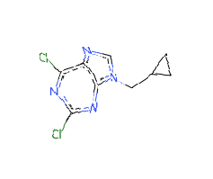 Clc1nc(Cl)c2ncn(CC3CC3)c2n1